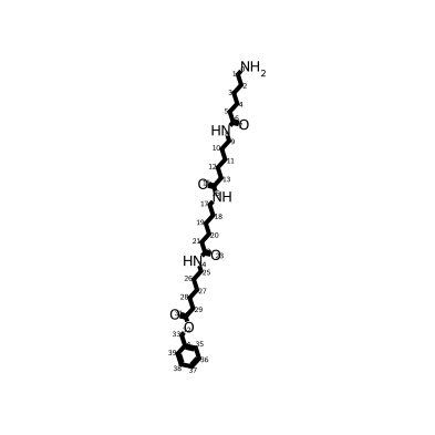 NCCCCCC(=O)NCCCCCC(=O)NCCCCCC(=O)NCCCCCC(=O)OCc1ccccc1